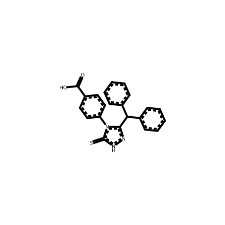 O=C(O)c1ccc(-n2c(C(c3ccccc3)c3ccccc3)n[nH]c2=S)cc1